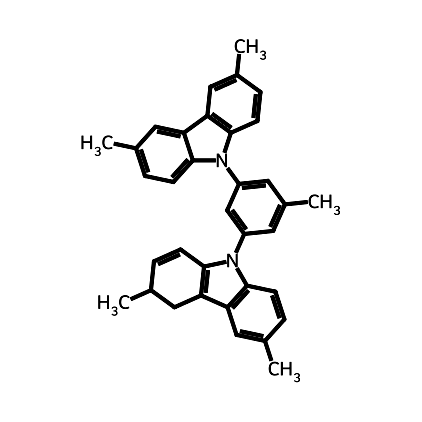 Cc1cc(-n2c3c(c4cc(C)ccc42)CC(C)C=C3)cc(-n2c3ccc(C)cc3c3cc(C)ccc32)c1